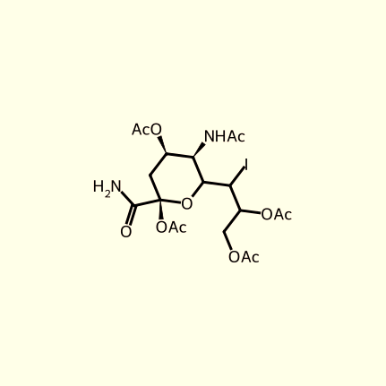 CC(=O)N[C@H]1C(C(I)C(COC(C)=O)OC(C)=O)O[C@](OC(C)=O)(C(N)=O)C[C@H]1OC(C)=O